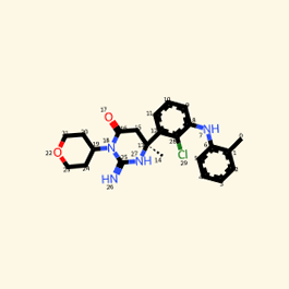 Cc1ccccc1Nc1cccc([C@]2(C)CC(=O)N(C3CCOCC3)C(=N)N2)c1Cl